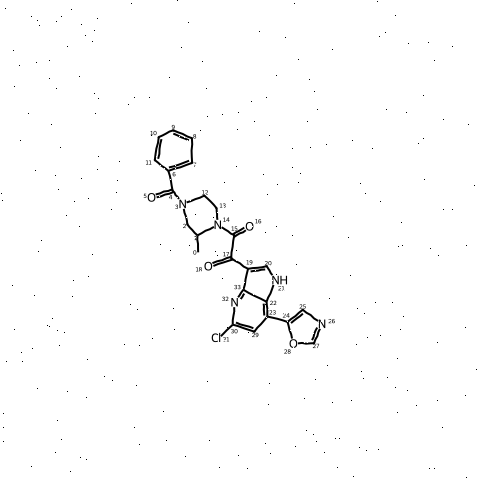 CC1CN(C(=O)c2ccccc2)CCN1C(=O)C(=O)c1c[nH]c2c(-c3cnco3)cc(Cl)nc12